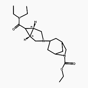 CCOC(=O)N1CC2CC(N3C[C@@H]4C(C(=O)N(CC)CC)[C@@H]4C3)CC1C2